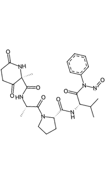 CC(C)[C@H](NC(=O)[C@@H]1CCCN1C(=O)[C@H](C)NC(=O)[C@]1(C)NC(=O)CCC1=O)C(=O)N([N+]=O)c1ccccc1